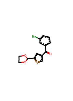 O=C(c1cccc(Br)c1)c1csc(C2OCCO2)c1